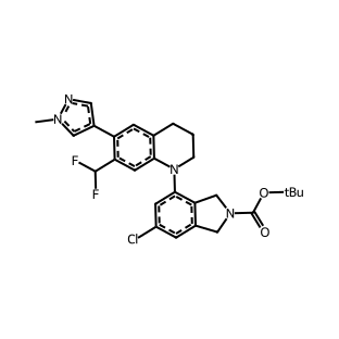 Cn1cc(-c2cc3c(cc2C(F)F)N(c2cc(Cl)cc4c2CN(C(=O)OC(C)(C)C)C4)CCC3)cn1